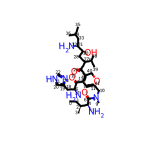 CC[C@H](C)[C@H](N)C(=O)N(C)CC1=CC(C(=O)[C@@H](N)Cc2c[nH]cn2)=C(C(=O)C(C[C@H](O)[C@@H](N)CC(C)C)C(C)C)CO1